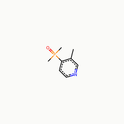 Cc1cnccc1P(C)(C)=O